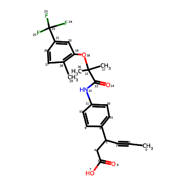 CC#CC(CC(=O)O)c1ccc(NC(=O)C(C)(C)Oc2cc(C(F)(F)F)ccc2C)cc1